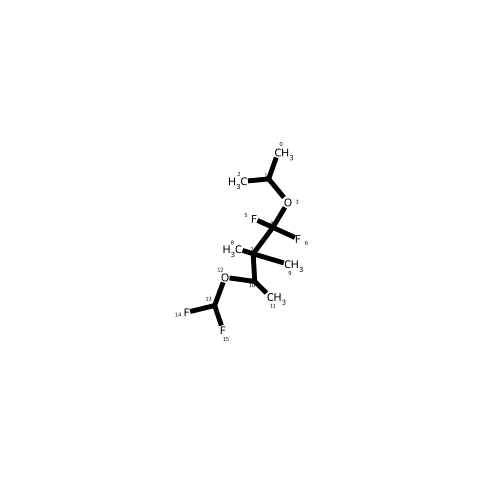 CC(C)OC(F)(F)C(C)(C)C(C)OC(F)F